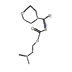 CC/C(=N/C(=O)OCCN(C)C)N1CCOCC1